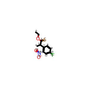 CCOC(=S)C(C)c1ccc(F)cc1[N+](=O)[O-]